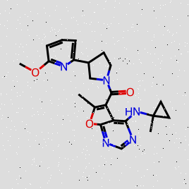 COc1cccc(C2CCN(C(=O)c3c(C)oc4ncnc(NC5(C)CC5)c34)C2)n1